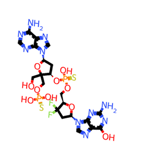 Nc1nc(O)c2ncn([C@H]3CC(F)(F)[C@@H](COP(O)(=S)O[C@H]4C[C@H](n5cnc6c(N)ncnc65)OC4(CO)COP(O)(O)=S)O3)c2n1